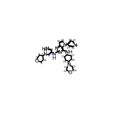 N=C/C(=C\NC1CCOCC1)Nc1nc(N[C@H]2CC[C@H](N3CCOCC3)CC2)c2c(ccn2-c2ccncc2)n1